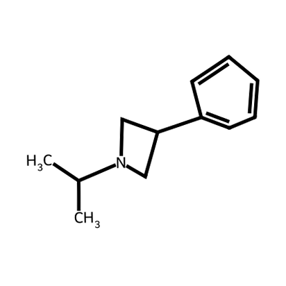 CC(C)N1CC(c2ccccc2)C1